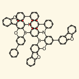 c1ccc(-c2ccc3c(c2)Oc2c4c(cc5oc6ccccc6c25)N(c2ccccc2-c2ccccc2)c2cc5c(cc2B34)B2c3ccc4c(oc6ccccc64)c3Oc3cc(-c4ccc6oc7ccccc7c6c4)cc(c32)N5c2ccccc2-c2ccccc2)cc1